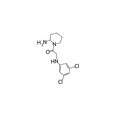 NC1CCCCN1C(=O)CNc1cc(Cl)cc(Cl)c1